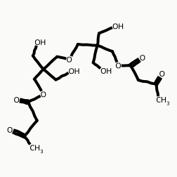 CC(=O)CC(=O)OCC(CO)(CO)COCC(CO)(CO)COC(=O)CC(C)=O